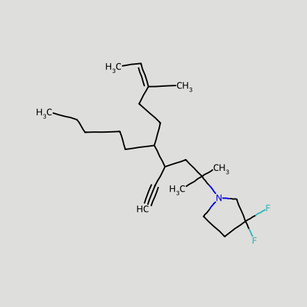 C#CC(CC(C)(C)N1CCC(F)(F)C1)C(CCCCC)CC/C(C)=C\C